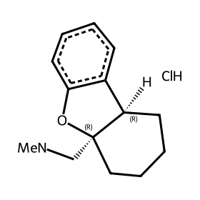 CNC[C@@]12CCCC[C@@H]1c1ccccc1O2.Cl